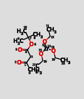 CC(=O)CC(=O)OC(C)(C)C.CC[O][Zr]([O]CC)[O]CC